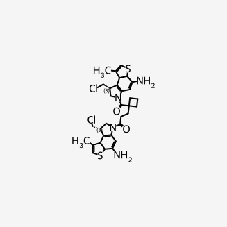 CC1=CSC2C(N)=CC3=C(C12)[C@H](CCl)CN3C(=O)CCC1(C(=O)N2C[C@@H](CCl)C3=C2C=C(N)C2SC=C(C)C32)CCC1